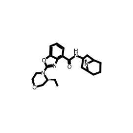 CC[C@H]1COCCN1c1nc2c(C(=O)NC3CC4CCCC(C3)N4C)cccc2o1